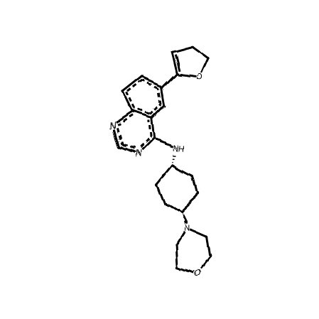 C1=C(c2ccc3ncnc(N[C@H]4CC[C@H](N5CCOCC5)CC4)c3c2)OCC1